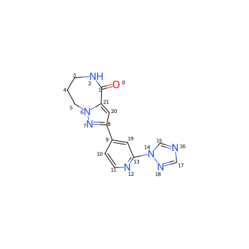 O=C1NCCCn2nc(-c3ccnc(-n4cncn4)c3)cc21